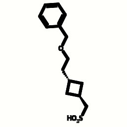 O=S(=O)(O)C[C@H]1C[C@H](CCOCc2ccccc2)C1